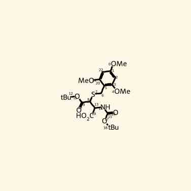 COc1cc(OC)c(CSC(C(=O)OC(C)(C)C)C(NC(=O)OC(C)(C)C)C(=O)O)c(OC)c1